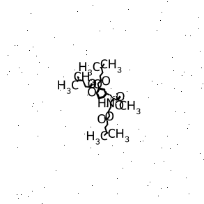 COC(=O)[C@H](Cc1ccc(OC(=O)CCC(C)C)c(OC(=O)CCC(C)C)c1)NCCOC(=O)CCC(C)C